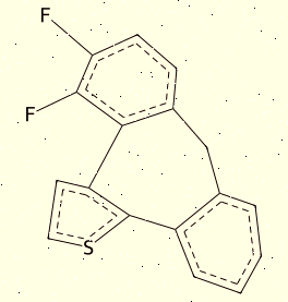 Fc1ccc2c(c1F)-c1ccsc1-c1ccccc1C2